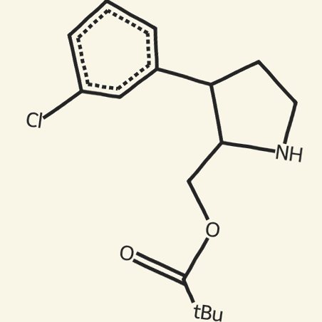 CC(C)(C)C(=O)OCC1NCCC1c1cccc(Cl)c1